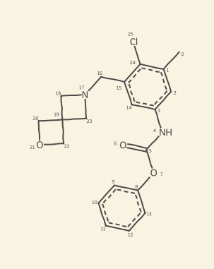 Cc1cc(NC(=O)Oc2ccccc2)cc(CN2CC3(COC3)C2)c1Cl